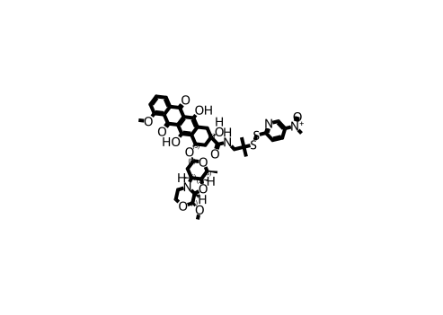 COc1cccc2c1C(=O)c1c(O)c3c(c(O)c1C2=O)C[C@@](O)(C(=O)NCC(C)(C)SSc1ccc([N+](C)=O)cn1)C[C@@H]3O[C@H]1C[C@H]2[C@H](O[C@@H]3[C@@H](OC)OCCN32)[C@H](C)O1